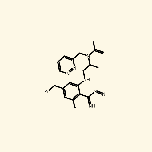 C=C(C)N(Cc1cccnn1)C(C)CNc1cc(CC(C)C)cc(F)c1C(=N)N=N